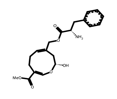 COC(=O)/C1=C/O[C@@H](O)C/C(COC(=O)[C@@H](N)Cc2ccccc2)=C\CC1